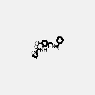 C[C@@H](NCc1ccc(Cl)c(NC(=O)c2ccco2)c1)c1ccccc1